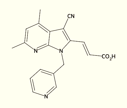 Cc1cc(C)c2c(C#N)c(C=CC(=O)O)n(Cc3cccnc3)c2n1